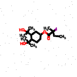 CCC(C)(I)C(=O)OC1CCC(C(C)(C)O)C(C(C)(C)O)C1